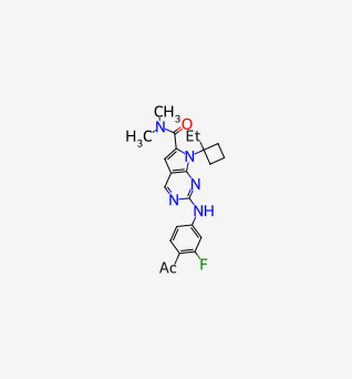 CCC1(n2c(C(=O)N(C)C)cc3cnc(Nc4ccc(C(C)=O)c(F)c4)nc32)CCC1